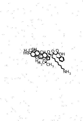 C=C(C)[C@@H]1CC[C@]2(C(=O)N(CCCCCCCCN)C(=O)[C@@H](Cc3ccccc3)C(=O)O)CC[C@]3(C)[C@H](CCC4[C@@]5(C)CC[C@H](O)C(C)(C)[C@@H]5CC[C@]43C)[C@@H]12